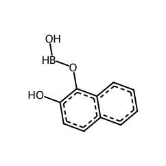 OBOc1c(O)ccc2ccccc12